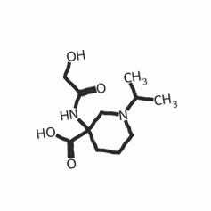 CC(C)N1CCCC(NC(=O)CO)(C(=O)O)C1